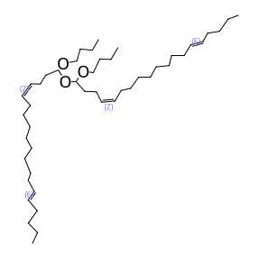 CCCC/C=C/CCCCCCCC/C=C\CCC(OCCCC)OC(CC/C=C\CCCCCCCC/C=C/CCCC)OCCCC